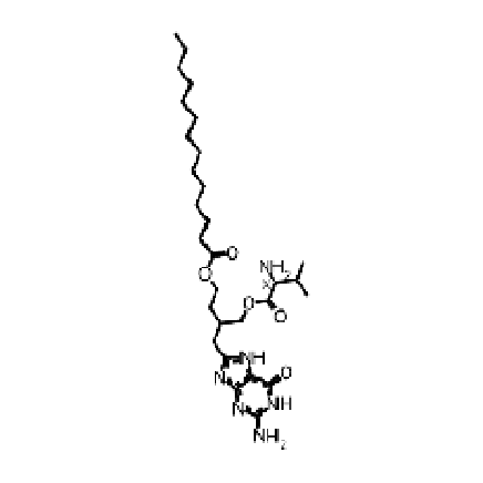 CCCCCCCCCCCCCC(=O)OCCC(COC(=O)[C@@H](N)C(C)C)Cc1nc2nc(N)[nH]c(=O)c2[nH]1